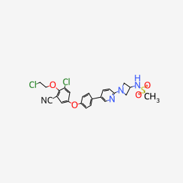 CS(=O)(=O)NC1CN(c2ccc(-c3ccc(Oc4cc(Cl)c(OCCCl)c(C#N)c4)cc3)cn2)C1